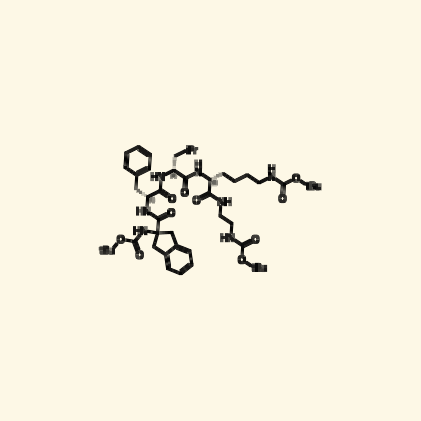 CC(C)C[C@@H](NC(=O)[C@@H](Cc1ccccc1)NC(=O)C1(NC(=O)OC(C)(C)C)Cc2ccccc2C1)C(=O)N[C@H](CCCCNC(=O)OC(C)(C)C)C(=O)NCCNC(=O)OC(C)(C)C